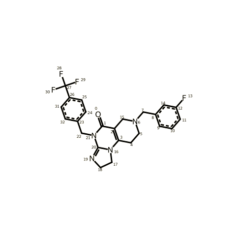 O=C1C2=C(CCN(Cc3cccc(F)c3)C2)N2CCN=C2N1Cc1ccc(C(F)(F)F)cc1